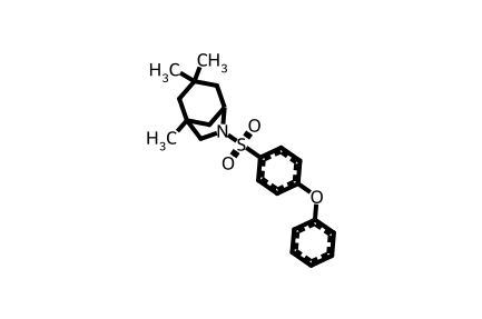 CC1(C)CC2CC(C)(CN2S(=O)(=O)c2ccc(Oc3ccccc3)cc2)C1